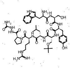 CC(C)C[C@H](NC(=O)[C@@H](COC(C)(C)C)NC(=O)[C@H](Cc1ccc(O)cc1)NC(=O)[C@H](CO)NC(=O)C(N)Cc1c[nH]c2ccccc12)C(=O)N[C@@H](CCCNC(=N)N)C(=O)N1CCC[C@H]1C(=O)NNC(N)=O